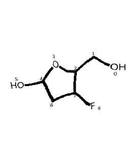 OCC1OC(O)CC1F